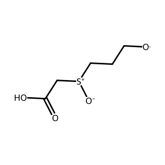 [O]CCC[S+]([O-])CC(=O)O